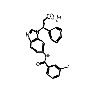 O=C(O)CC(c1ccccc1)n1cnc2ccc(NC(=O)c3cccc(I)c3)cc21